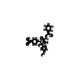 CCc1csc(C(I)(Cc2ccc([N+](=O)[O-])cc2)NC(=O)CCC(=O)c2ccccc2)n1